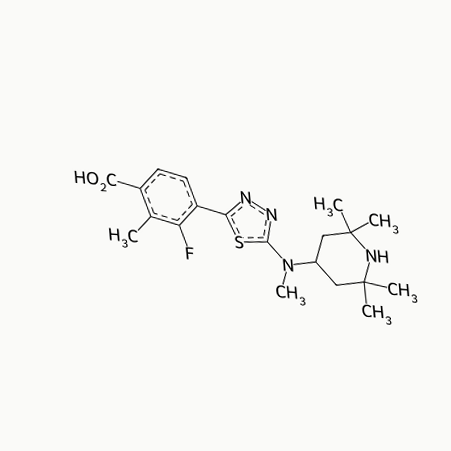 Cc1c(C(=O)O)ccc(-c2nnc(N(C)C3CC(C)(C)NC(C)(C)C3)s2)c1F